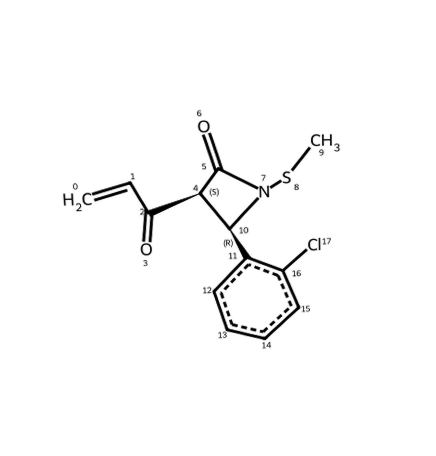 C=CC(=O)[C@H]1C(=O)N(SC)[C@H]1c1ccccc1Cl